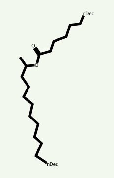 CCCCCCCCCCCCCCCCCCCC(C)OC(=O)CCCCCCCCCCCCCCC